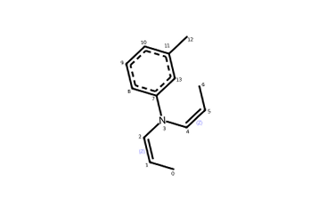 C/C=C\N(/C=C\C)c1cccc(C)c1